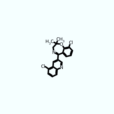 CC1(C)CN=C(c2cnc3cccc(Cl)c3c2)c2cccc(Cl)c2O1